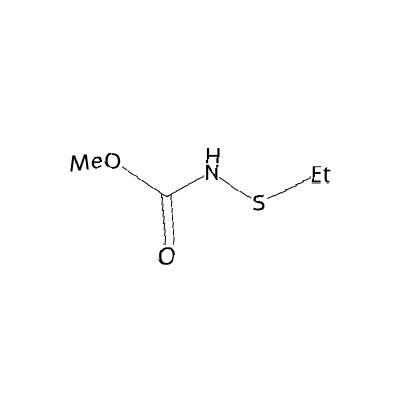 CCSNC(=O)OC